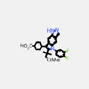 COCC(C)(C)c1c(C2CCC(C(=O)O)CC2)c2cc3[nH]ncc3cc2n1-c1ccc(F)c(F)c1